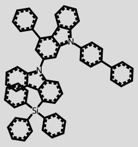 c1ccc(-c2ccc(-n3c4ccccc4c4c(-c5ccccc5)cc(-n5c6ccccc6c6c([Si](c7ccccc7)(c7ccccc7)c7ccccc7)cccc65)cc43)cc2)cc1